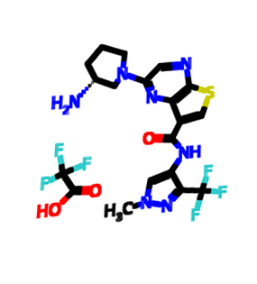 Cn1cc(NC(=O)c2csc3ncc(N4CCC[C@@H](N)C4)nc23)c(C(F)(F)F)n1.O=C(O)C(F)(F)F